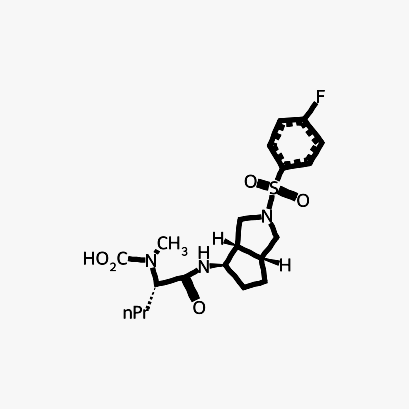 CCC[C@@H](C(=O)N[C@@H]1CC[C@H]2CN(S(=O)(=O)c3ccc(F)cc3)C[C@H]21)N(C)C(=O)O